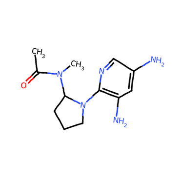 CC(=O)N(C)C1CCCN1c1ncc(N)cc1N